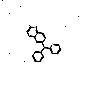 c1ccc(C(c2ccc3ncccc3c2)c2ccccn2)cc1